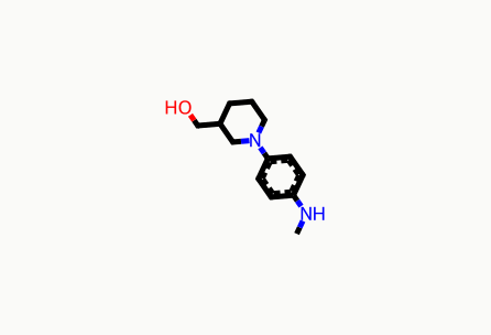 CNc1ccc(N2CCCC(CO)C2)cc1